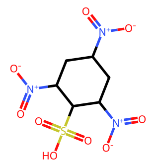 O=[N+]([O-])C1CC([N+](=O)[O-])C(S(=O)(=O)O)C([N+](=O)[O-])C1